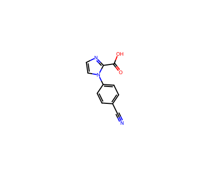 N#Cc1ccc(-n2ccnc2C(=O)O)cc1